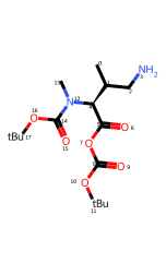 CC(CN)[C@@H](C(=O)OC(=O)OC(C)(C)C)N(C)C(=O)OC(C)(C)C